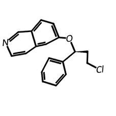 ClCC[C@H](Oc1ccc2cnccc2c1)c1ccccc1